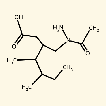 CCC(C)C(C)C(CC(=O)O)CN(N)C(C)=O